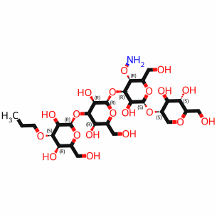 CCCO[C@@H]1C(O)[C@@H](OC2[C@H](O)C(CO)O[C@H](O[C@@H]3C(O)[C@@H](O[C@H]4COC(CO)[C@@H](O)C4O)OC(CO)[C@H]3ON)[C@@H]2O)OC(CO)[C@H]1O